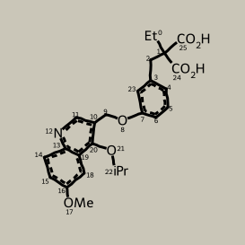 CCC(Cc1cccc(OCc2cnc3ccc(OC)cc3c2OC(C)C)c1)(C(=O)O)C(=O)O